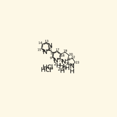 Cl.Cl.[2H]C([2H])([2H])N1c2ncc(-c3ncccn3)cc2CCC12CCNC2